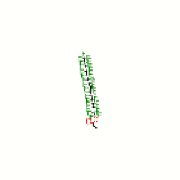 C=CC(=O)OC(F)(F)C(F)(F)C(F)(F)C(F)(F)C(F)(F)C(F)(F)C(F)(F)C(F)(F)C(F)(F)C(F)(F)C(F)(F)C(F)(F)C(F)(F)C(F)(F)C(F)(F)F